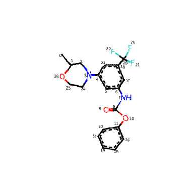 CC1CN(c2cc(NC(=O)Oc3ccccc3)cc(C(F)(F)F)c2)CCO1